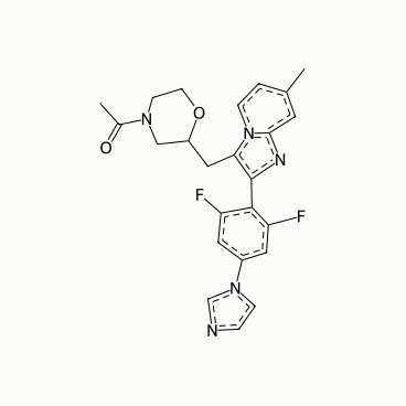 CC(=O)N1CCOC(Cc2c(-c3c(F)cc(-n4ccnc4)cc3F)nc3cc(C)ccn23)C1